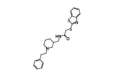 O=C(CSc1nc2ccccc2s1)NCC1CCCN(CCc2ccccc2)C1